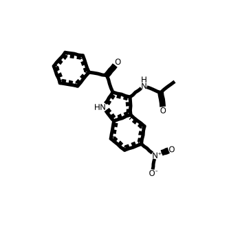 CC(=O)Nc1c(C(=O)c2ccccc2)[nH]c2ccc([N+](=O)[O-])cc12